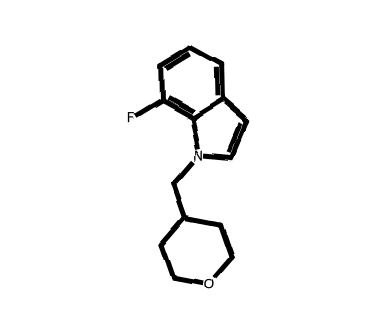 Fc1cccc2ccn(CC3CCOCC3)c12